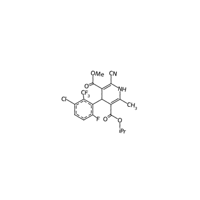 COC(=O)C1=C(C#N)NC(C)=C(C(=O)OC(C)C)C1c1c(F)ccc(Cl)c1C(F)(F)F